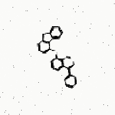 c1ccc(-c2cncc3c(Nc4cccc5c4-c4ccccc4C5)cccc23)cc1